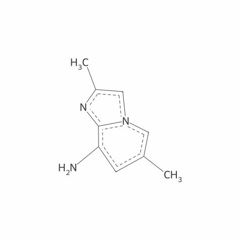 Cc1cc(N)c2nc(C)cn2c1